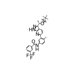 Cc1ccc(NC(=O)c2cccc(C(F)(F)F)c2)cc1-c1ccc2c([C@@H](C)O[Si](C)(C)C(C)(C)C)n[nH]c2n1